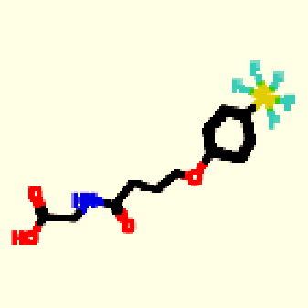 O=C(O)CNC(=O)CCCOc1ccc(S(F)(F)(F)(F)F)cc1